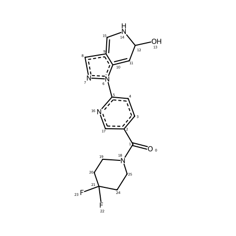 O=C(c1ccc(-n2ncc3c2=CC(O)NC=3)nc1)N1CCC(F)(F)CC1